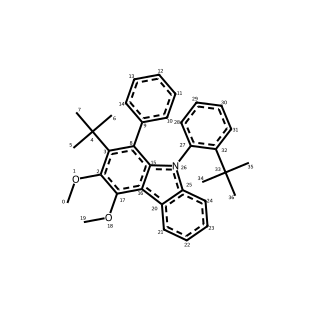 COc1c(C(C)(C)C)c(-c2ccccc2)c2c(c1OC)c1ccccc1n2-c1ccccc1C(C)(C)C